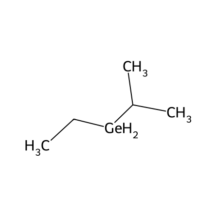 C[CH2][GeH2][CH](C)C